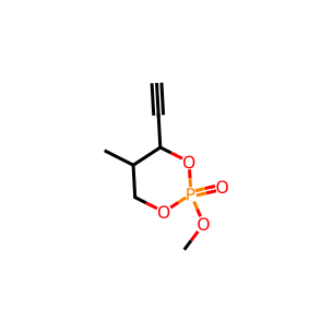 C#CC1OP(=O)(OC)OCC1C